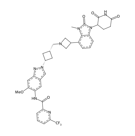 COc1cc2nn([C@H]3C[C@@H](CN4CC(c5cccc6c5n(C)c(=O)n6C5CCC(=O)NC5=O)C4)C3)cc2cc1NC(=O)c1cccc(C(F)(F)F)n1